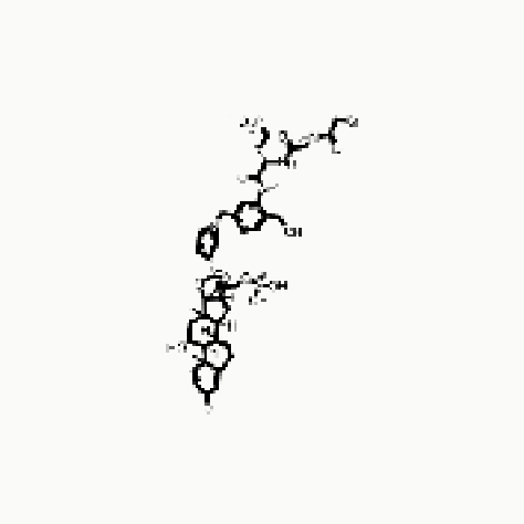 C[C@]12C=CC(=O)C=C1CC[C@H]1[C@@H]3C[C@H]4O[C@@H](c5ccn(Cc6ccc(CO)c(NC(=O)[C@H](CCC(=O)O)NC(=O)CNC(=O)CBr)c6)c5)O[C@@]4(C(=O)COP(=O)(O)O)[C@@]3(C)C[C@H](O)[C@@]12F